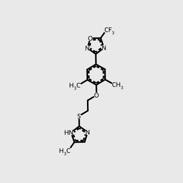 Cc1cnc(SCCOc2c(C)cc(-c3noc(C(F)(F)F)n3)cc2C)[nH]1